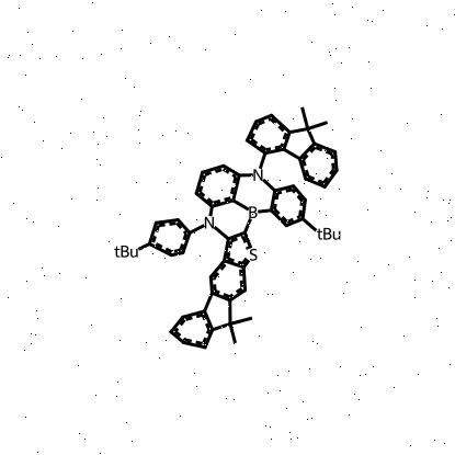 CC(C)(C)c1ccc(N2c3cccc4c3B(c3cc(C(C)(C)C)ccc3N4c3cccc4c3-c3ccccc3C4(C)C)c3sc4cc5c(cc4c32)-c2ccccc2C5(C)C)cc1